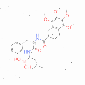 COc1c2c(c(OC)c(OC)c1OC)CC(C(=O)N[C@@H](Cc1ccccc1)C(=O)NC(CC(C)C)B(O)O)CC2